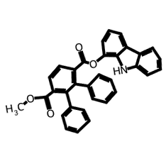 COC(=O)c1ccc(C(=O)Oc2cccc3c2[nH]c2ccccc23)c(-c2ccccc2)c1-c1ccccc1